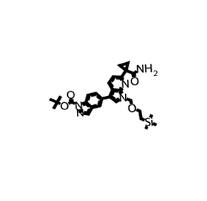 CC(C)(C)OC(=O)n1ncc2cc(-c3cn(COCC[Si](C)(C)C)c4nc(C5(C(N)=O)CC5)ccc34)ccc21